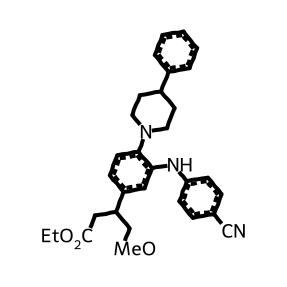 CCOC(=O)CC(COC)c1ccc(N2CCC(c3ccccc3)CC2)c(Nc2ccc(C#N)cc2)c1